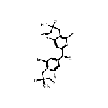 CCC(c1cc(Br)c(CC(C)(Br)CBr)c(Br)c1)c1cc(Br)c(CC(C)(Br)CBr)c(Br)c1